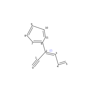 C#C/C(=C\C=C)c1ccccc1